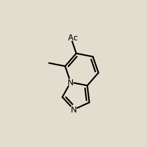 CC(=O)c1ccc2cncn2c1C